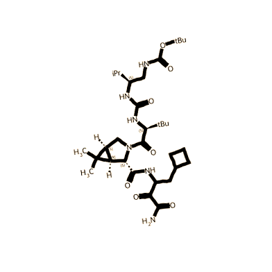 CC(C)[C@@H](CNC(=O)OC(C)(C)C)NC(=O)N[C@H](C(=O)N1C[C@H]2[C@@H]([C@H]1C(=O)NC(CC1CCC1)C(=O)C(N)=O)C2(C)C)C(C)(C)C